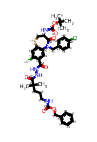 CC(C)(C)OC(=O)N[C@H]1CSc2cc(F)c(C(=O)NNC(=O)C(C)(C)CCCNC(=O)OCc3ccccc3)cc2N(Cc2ccc(Cl)cc2)C1=O